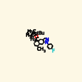 CC1=CC[C@H]([C@H](Cc2ccccc2)O[Si](C)(C)C(C)(C)C)[C@@]2(C)Cc3cnn(-c4ccc(F)cc4)c3C=C12